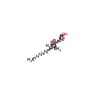 CCCCCCCCCCCCCCCCC(C)SN(C(C)=O)C(=O)CCOc1ccc(O)cc1